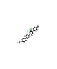 CCCc1ccc(-c2ccc(-c3ccc(C4CCC(CC)CC4)c(Cl)c3F)cc2)cc1